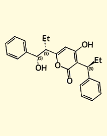 CC[C@@H](c1ccccc1)c1c(O)cc([C@@H](CC)[C@H](O)c2ccccc2)oc1=O